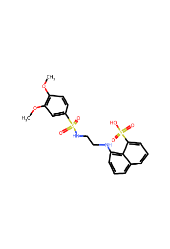 COc1ccc(S(=O)(=O)NCCNc2cccc3cccc(S(=O)(=O)O)c23)cc1OC